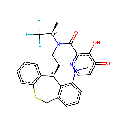 C[C@@H](N1CC([C@@H]2c3ccccc3SCc3cccc(N(C)C)c32)n2ccc(=O)c(O)c2C1=O)C(F)(F)F